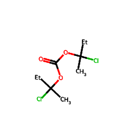 CCC(C)(Cl)OC(=O)OC(C)(Cl)CC